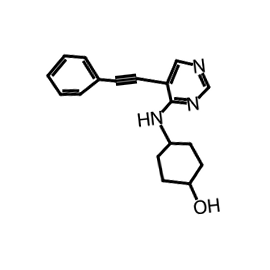 OC1CCC(Nc2ncncc2C#Cc2ccccc2)CC1